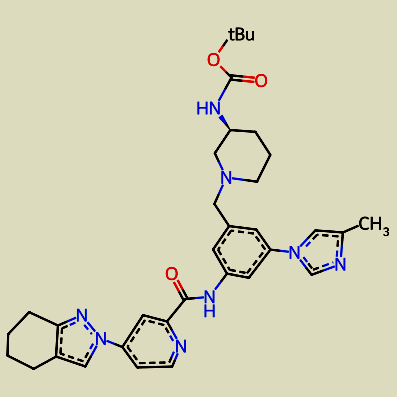 Cc1cn(-c2cc(CN3CCC[C@H](NC(=O)OC(C)(C)C)C3)cc(NC(=O)c3cc(-n4cc5c(n4)CCCC5)ccn3)c2)cn1